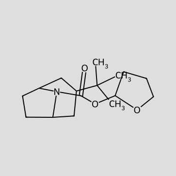 CC(C)(C)C1CC2CCC(C1)N2C(=O)OC1CCCO1